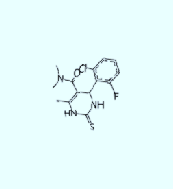 CC1=C(C(=O)N(C)C)C(c2c(F)cccc2Cl)NC(=S)N1